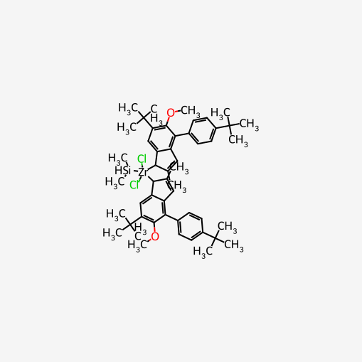 COc1c(C(C)(C)C)cc2c(c1-c1ccc(C(C)(C)C)cc1)C=C(C)[CH]2[Zr]([Cl])([Cl])([CH]1C(C)=Cc2c1cc(C(C)(C)C)c(OC)c2-c1ccc(C(C)(C)C)cc1)[SiH](C)C